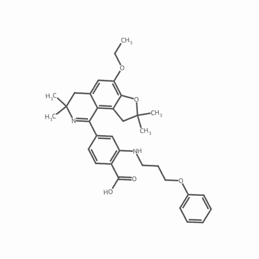 CCOc1cc2c(c3c1OC(C)(C)C3)C(c1ccc(C(=O)O)c(NCCCOc3ccccc3)c1)=NC(C)(C)C2